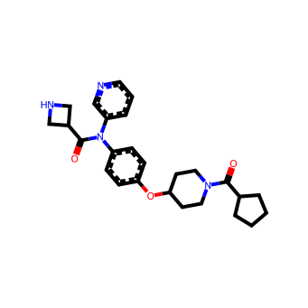 O=C(C1CCCC1)N1CCC(Oc2ccc(N(C(=O)C3CNC3)c3cccnc3)cc2)CC1